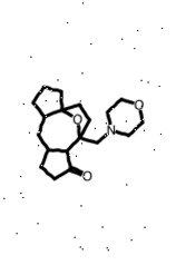 O=C1CCC2CC3CCCC34CCC(CN3CCOCC3)(O4)C12